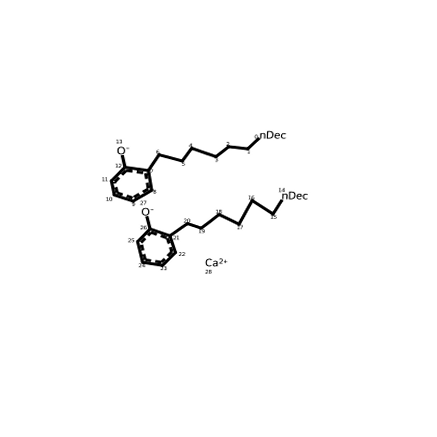 CCCCCCCCCCCCCCCCc1ccccc1[O-].CCCCCCCCCCCCCCCCc1ccccc1[O-].[Ca+2]